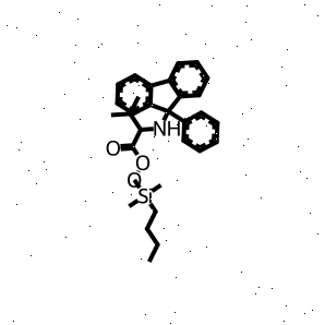 CCCC[Si](C)(C)OOC(=O)C(NC1(c2ccccc2)c2ccccc2-c2ccccc21)C(C)C